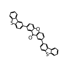 O=c1c2cc(-c3ccc4sc5ccccc5c4c3)ccc2oc2ccc(-c3ccc4sc5ccccc5c4c3)cc12